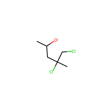 CC([O])CC(C)(Cl)CCl